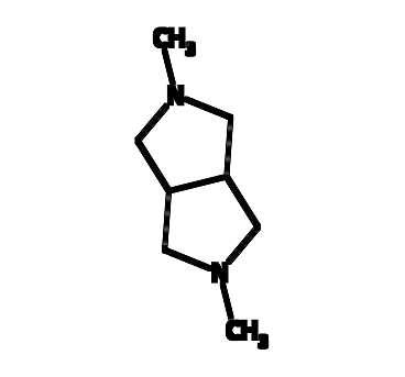 CN1CC2CN(C)CC2C1